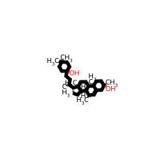 C[C@@H]1C=C2C[C@@](C)(O)CC[C@]2(C)C2CC[C@]3(C)[C@@H]([C@H](C)CCC4(O)CCC(C)(C)CC4)CC[C@H]3[C@@H]21